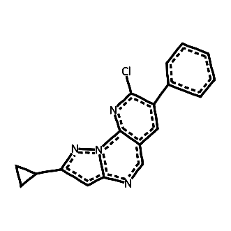 Clc1nc2c(cnc3cc(C4CC4)nn32)cc1-c1ccccc1